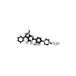 CCOC(=O)N1CCN(c2ccc(-c3nc4c(c(C5CCCCC5)nn4C)c(=O)[nH]3)c(OC)c2)CC1